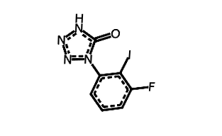 O=c1[nH]nnn1-c1cccc(F)c1I